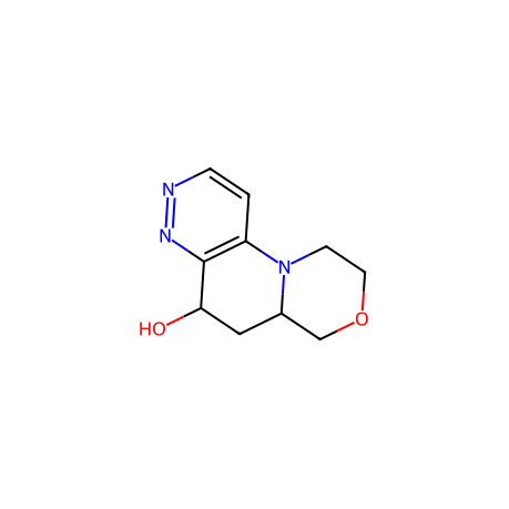 OC1CC2COCCN2c2ccnnc21